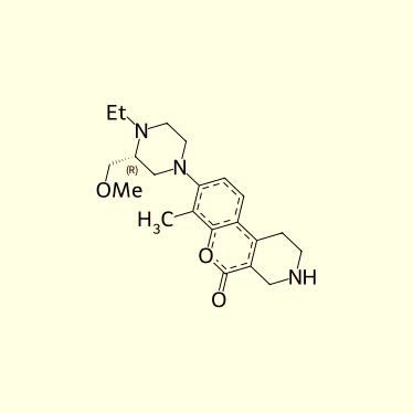 CCN1CCN(c2ccc3c4c(c(=O)oc3c2C)CNCC4)C[C@@H]1COC